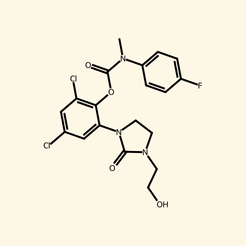 CN(C(=O)Oc1c(Cl)cc(Cl)cc1N1CCN(CCO)C1=O)c1ccc(F)cc1